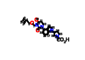 C[Si](C)(C)CCOCN1C(=O)CCN(c2cccc3c2ccn3C2CCN(C(=O)O)C2)C1=O